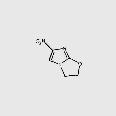 O=[N+]([O-])c1cn2c(n1)OCC2